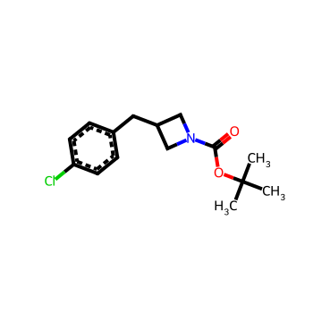 CC(C)(C)OC(=O)N1CC(Cc2ccc(Cl)cc2)C1